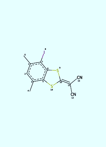 Cc1cc(C)c2c(c1I)SC(=C(C#N)C#N)S2